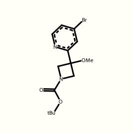 COC1(c2cc(Br)ccn2)CN(C(=O)OC(C)(C)C)C1